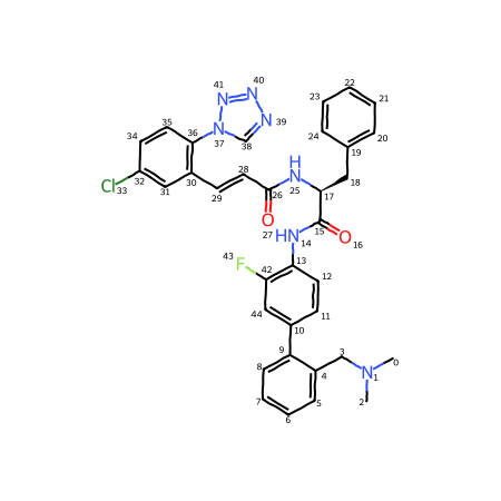 CN(C)Cc1ccccc1-c1ccc(NC(=O)[C@H](Cc2ccccc2)NC(=O)/C=C/c2cc(Cl)ccc2-n2cnnn2)c(F)c1